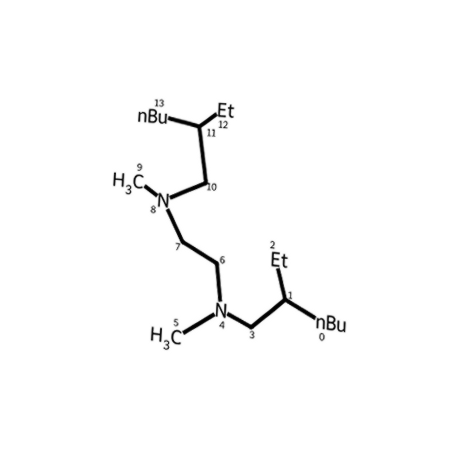 CCCCC(CC)CN(C)CCN(C)CC(CC)CCCC